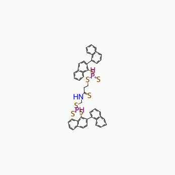 S=C(CCS[PH](=S)Sc1c(-c2cccc3ccccc23)ccc2ccccc12)NCS[PH](=S)Sc1c(-c2cccc3ccccc23)ccc2ccccc12